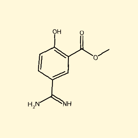 COC(=O)c1cc(C(=N)N)ccc1O